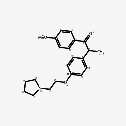 COc1ccc(C(=O)C(C)c2ccc(OCCN3CCCC3)cc2)cc1